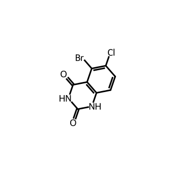 O=c1[nH]c(=O)c2c(Br)c(Cl)ccc2[nH]1